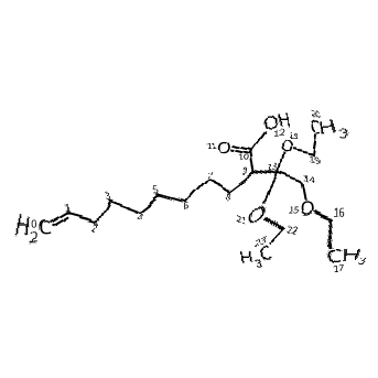 C=CCCCCCCCC(C(=O)O)C(COCC)(OCC)OCC